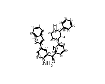 Nc1ncc(-c2cc3ccccc3s2)cc1C(=O)c1cccc(N2CCNC(c3ccccc3)C2)n1